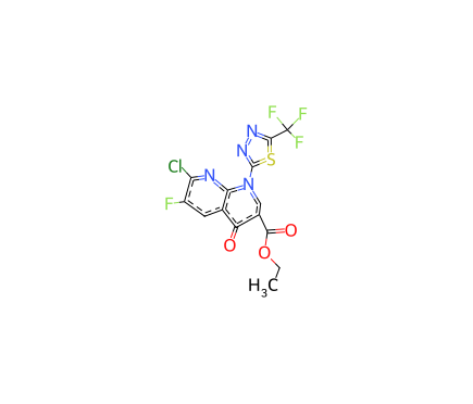 CCOC(=O)c1cn(-c2nnc(C(F)(F)F)s2)c2nc(Cl)c(F)cc2c1=O